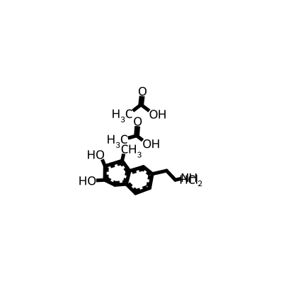 CC(=O)O.CC(=O)O.Cc1c(O)c(O)cc2ccc(CCN)cc12.Cl